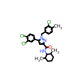 Cc1ccc(Cn2nc(C(=O)NC3C(C)CCCC3C)cc2-c2ccc(Cl)c(Cl)c2)cc1Cl